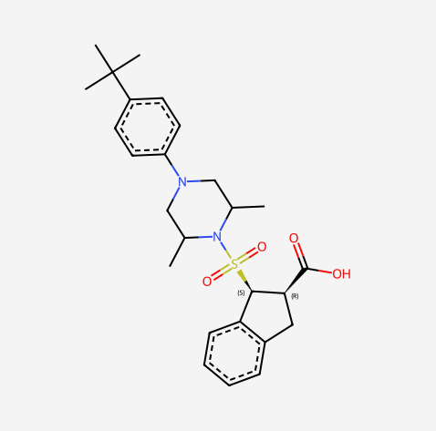 CC1CN(c2ccc(C(C)(C)C)cc2)CC(C)N1S(=O)(=O)[C@@H]1c2ccccc2C[C@@H]1C(=O)O